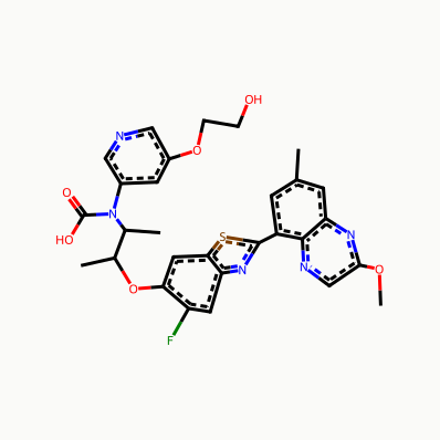 COc1cnc2c(-c3nc4cc(F)c(OC(C)C(C)N(C(=O)O)c5cncc(OCCO)c5)cc4s3)cc(C)cc2n1